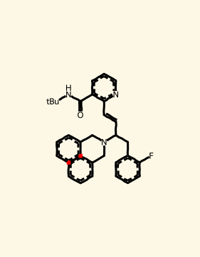 CC(C)(C)NC(=O)c1cccnc1C=CC(Cc1ccccc1F)N(Cc1ccccc1)Cc1ccccc1